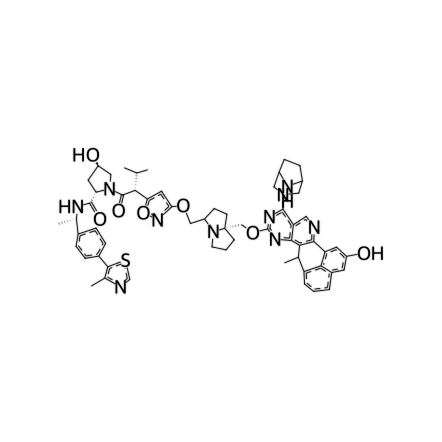 Cc1ncsc1-c1ccc([C@H](C)NC(=O)[C@@H]2C[C@@H](O)CN2C(=O)[C@@H](c2cc(OCC3CC[C@@]4(COc5nc(N6CC7CCC(C6)N7)c6cnc7c(c6n5)C(C)c5cccc6cc(O)cc-7c56)CCCN34)no2)C(C)C)cc1